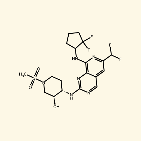 CS(=O)(=O)N1CC[C@H](Nc2ncc3cc(C(F)F)nc(NC4CCCC4(F)F)c3n2)[C@@H](O)C1